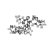 CC(C)(C)[C@H](NC(=O)c1cnccn1)C(=O)N1CC2(CCC2)C[C@H]1C(=O)N[C@H](C#N)C[C@@H]1CC2(CC2)NC1=O